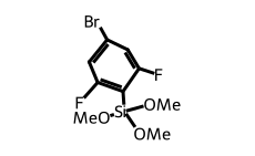 CO[Si](OC)(OC)c1c(F)cc(Br)cc1F